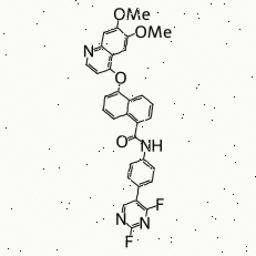 COc1cc2nccc(Oc3cccc4c(C(=O)Nc5ccc(-c6cnc(F)nc6F)cc5)cccc34)c2cc1OC